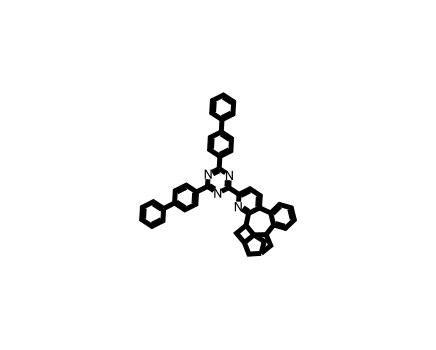 c1ccc(-c2ccc(-c3nc(-c4ccc(-c5ccccc5)cc4)nc(-c4ccc5c(n4)C4CC6CC7CC(c8ccccc8-5)C64C7)n3)cc2)cc1